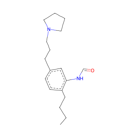 CCCCc1ccc(CCCN2CCCC2)cc1NC=O